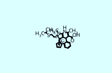 CC1=C(C(=O)O)C(c2ccccc2[N+](=O)[O-])C2=C(N1)N(C)N(CCSC(C)C)C2C1CCCC1